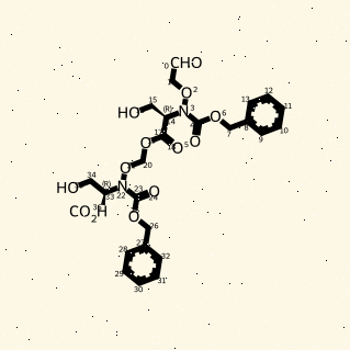 O=CCON(C(=O)OCc1ccccc1)[C@H](CO)C(=O)OCON(C(=O)OCc1ccccc1)[C@H](CO)C(=O)O